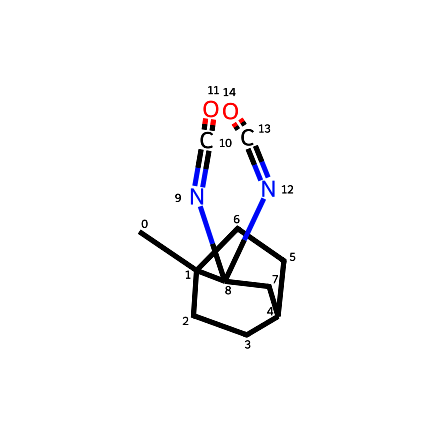 CC12CCC(CC1)CC2(N=C=O)N=C=O